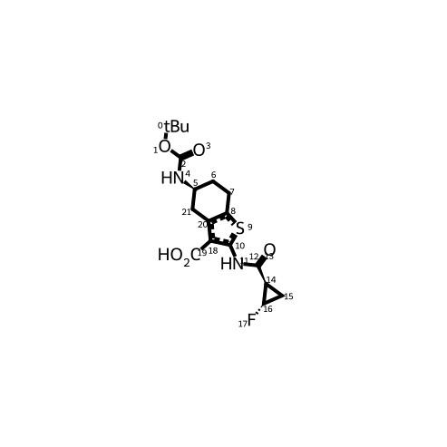 CC(C)(C)OC(=O)N[C@H]1CCc2sc(NC(=O)[C@H]3C[C@@H]3F)c(C(=O)O)c2C1